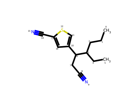 CCCC(CC)C(CC#N)c1csc(C#N)c1